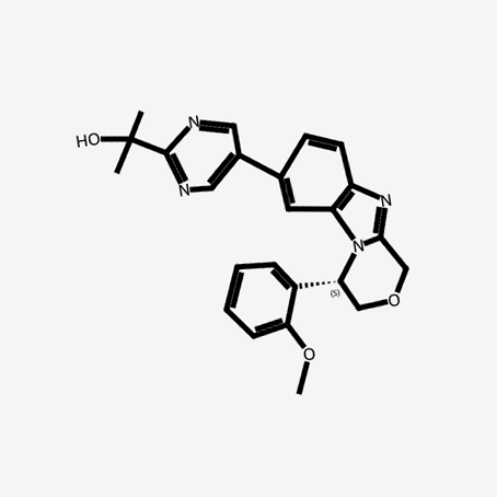 COc1ccccc1[C@H]1COCc2nc3ccc(-c4cnc(C(C)(C)O)nc4)cc3n21